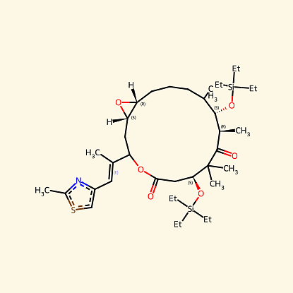 CC[Si](CC)(CC)O[C@H]1CC(=O)OC(/C(C)=C/c2csc(C)n2)C[C@@H]2O[C@@H]2CCCC(C)[C@H](O[Si](CC)(CC)CC)[C@@H](C)C(=O)C1(C)C